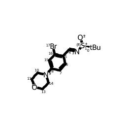 CC(C)(C)[S@+]([O-])N=Cc1ccc(N2CCOCC2)cc1Br